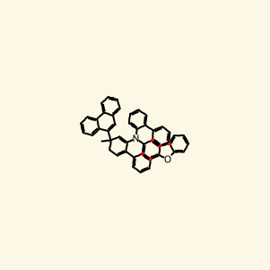 CC1(c2cc3ccccc3c3ccccc23)C=C(N(c2ccc3oc4ccccc4c3c2)c2ccccc2-c2ccccc2)C(c2ccccc2)=CC1